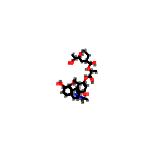 CC(C)C[C@H](CC(=O)[C@H](C)O)C(=O)O[C@@H](C)C(=O)OC1=CC[C@@]2(O)[C@H]3Cc4ccc(O)c5c4[C@@]2(CCN3C)[C@H]1O5